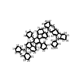 c1ccc(-c2c3c4ccc(N5c6ccccc6Sc6ccccc65)c5cccc(c3c(-c3ccccc3)c3c6ccc(N7c8ccccc8Sc8cc9c%10ccccc%10n(-c%10ccccc%10)c9cc87)c7cccc(c23)c76)c54)cc1